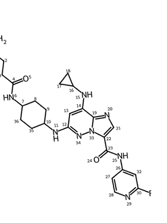 NCCCC(=O)NC1CCC(Nc2cc(NC3CC3)c3ncc(C(=O)Nc4ccnc(F)c4)n3n2)CC1